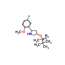 COc1ccc(F)cc1C1C[C@@H](O[Si](C)(C)C(C)(C)C)CN1